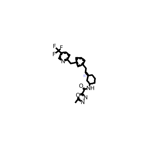 Cc1nnc(C(=O)NC2CCC/C(=C\Cc3cccc(Cc4ccc(C(F)(F)F)cn4)c3)C2)o1